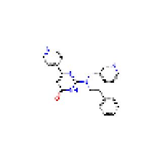 O=c1cc(-c2ccncc2)nc(N(CCc2ccccc2)Cc2cccnc2)[nH]1